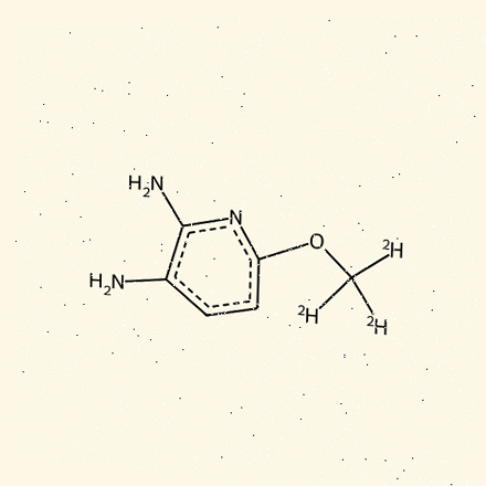 [2H]C([2H])([2H])Oc1ccc(N)c(N)n1